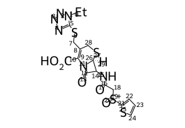 CCn1nnnc1SCC1=C(C(=O)O)N2C(=O)C(NC(=O)C[S+]([O-])c3cccs3)[C@@H]2SC1